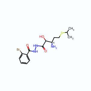 CC(C)SCC[C@@H](N)C(O)C(=O)NNC(=O)c1ccccc1Br